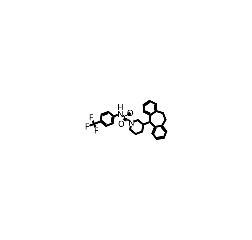 O=S(=O)(Nc1ccc(C(F)(F)F)cc1)N1CCCC(C2c3ccccc3CCc3ccccc32)C1